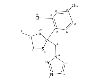 CC1CSC(Cn2ccnc2)(c2ccc(Cl)cc2Cl)S1